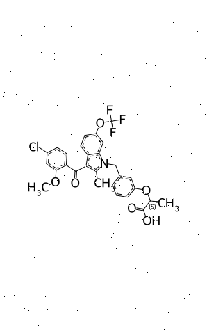 COc1cc(Cl)ccc1C(=O)c1c(C)n(Cc2cccc(O[C@@H](C)C(=O)O)c2)c2cc(OC(F)(F)F)ccc12